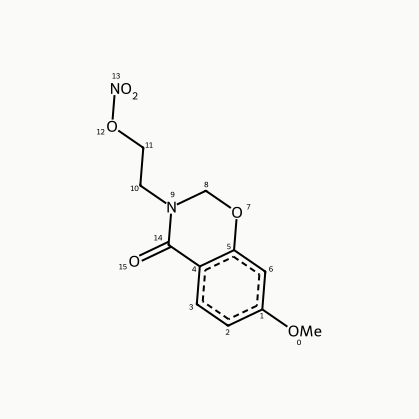 COc1ccc2c(c1)OCN(CCO[N+](=O)[O-])C2=O